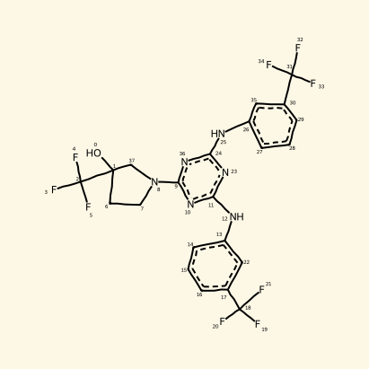 OC1(C(F)(F)F)CCN(c2nc(Nc3cccc(C(F)(F)F)c3)nc(Nc3cccc(C(F)(F)F)c3)n2)C1